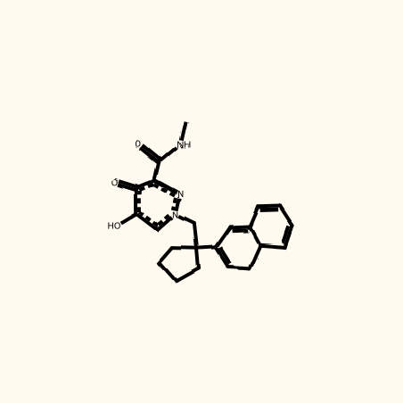 CNC(=O)c1nn(CC2(C3=CCC4C=CC=CC4=C3)CCCC2)cc(O)c1=O